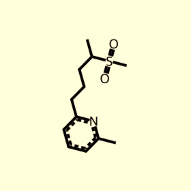 Cc1cccc(CCCC(C)S(C)(=O)=O)n1